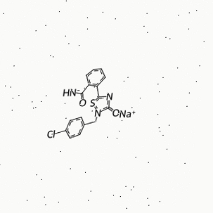 [NH-]C(=O)c1ccccc1-c1nc(=O)n(Cc2ccc(Cl)cc2)s1.[Na+]